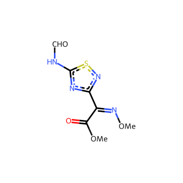 CON=C(C(=O)OC)c1nsc(NC=O)n1